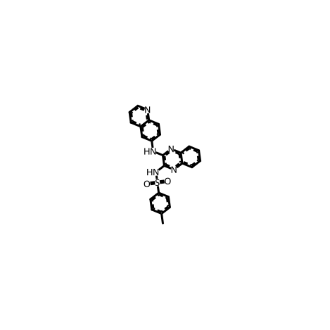 Cc1ccc(S(=O)(=O)Nc2nc3ccccc3nc2Nc2ccc3ncccc3c2)cc1